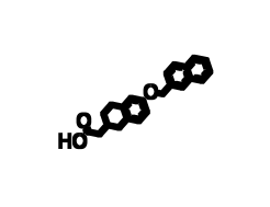 O=C(O)CC1CCc2cc(OCc3ccc4ccccc4c3)ccc2C1